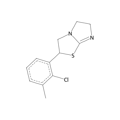 Cc1cccc(C2CN3CCN=C3S2)c1Cl